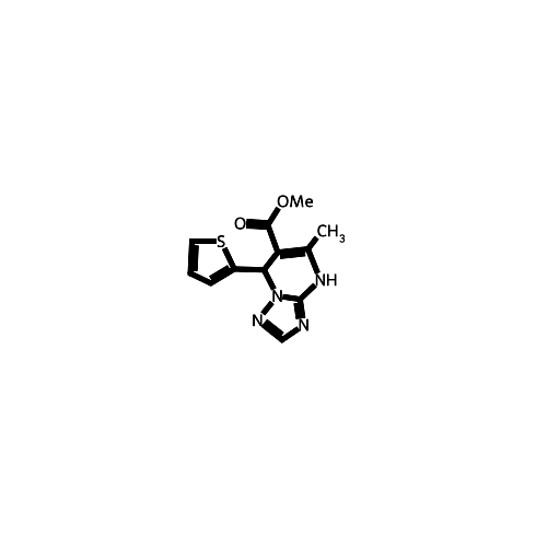 COC(=O)C1=C(C)Nc2ncnn2C1c1cccs1